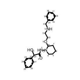 O=C(NN1CCCCC1OCCNCc1ccccc1)C(O)c1ccccc1